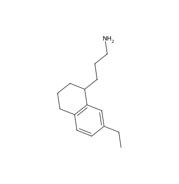 CCc1ccc2c(c1)C(CCCN)CCC2